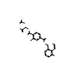 C/C=C\c1c(C)cccc1CNC(=O)c1ccc(C(=O)N[C@@H](CC(N)=O)C(=O)O)c(Cl)c1